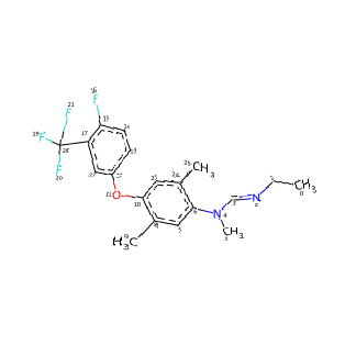 CCN=CN(C)c1cc(C)c(Oc2ccc(F)c(C(F)(F)F)c2)cc1C